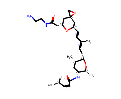 CC(=O)O[C@@H](C)/C=C\C(=O)N[C@@H]1C[C@H](C)[C@H](C/C=C(C)/C=C/[C@@H]2C[C@]3(CO3)C[C@@H](CC(=O)NCCN)O2)O[C@@H]1C